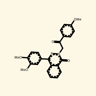 COc1ccc(C(=O)Cn2nc(-c3ccc(OC)c(OC)c3)c3ccccc3c2=O)cc1